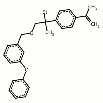 C=C(C)c1ccc(C(C)(CC)COCc2cccc(Oc3ccccc3)c2)cc1